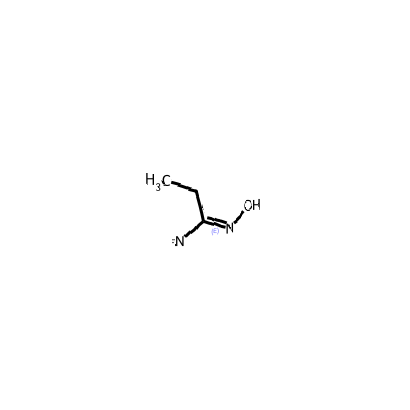 CC/C([N])=N\O